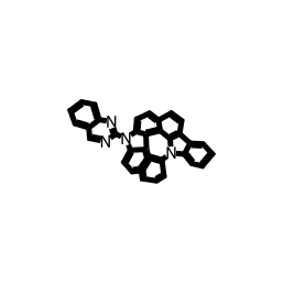 c1ccc(-n2c3ccccc3c3ccc4ccc5c(c6ccccc6n5-c5ncc6ccccc6n5)c4c32)cc1